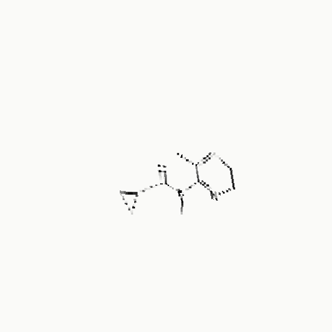 Cc1cccnc1N(C)C(=O)C1CC1